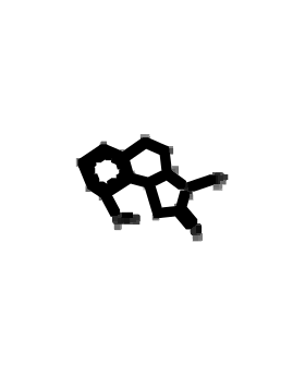 COc1cccc2c1C1CC(=O)N(C(C)C)C1CC2